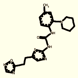 Cc1ccc(NC(=O)Nc2ncc(CCc3ncno3)s2)c(N2CCCCC2)c1